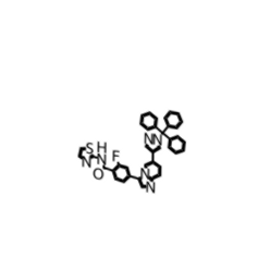 O=C(Nc1nccs1)c1ccc(-c2cnc3ccc(-c4cnn(C(c5ccccc5)(c5ccccc5)c5ccccc5)c4)cn23)cc1F